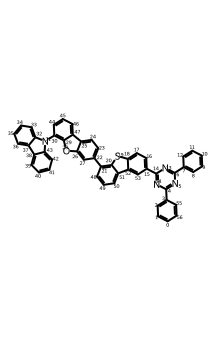 c1ccc(-c2nc(-c3ccccc3)nc(-c3ccc4sc5c(-c6ccc7c(c6)oc6c(-n8c9ccccc9c9ccccc98)cccc67)cccc5c4c3)n2)cc1